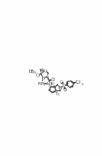 CCCN(C(=O)[C@H](CC(C)(C)C)N(C)C(=O)OC(C)(C)C)[C@H]1CC[C@@H]2CN(S(=O)(=O)c3ccc(C(F)(F)F)cc3)C[C@@H]21